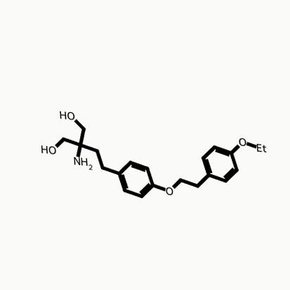 CCOc1ccc(CCOc2ccc(CCC(N)(CO)CO)cc2)cc1